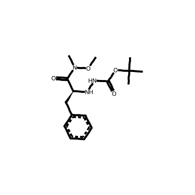 CON(C)C(=O)[C@H](Cc1ccccc1)NNC(=O)OC(C)(C)C